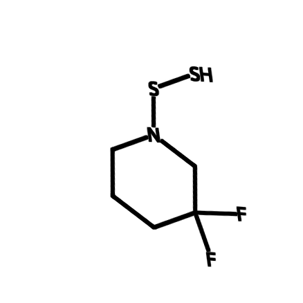 FC1(F)CCCN(SS)C1